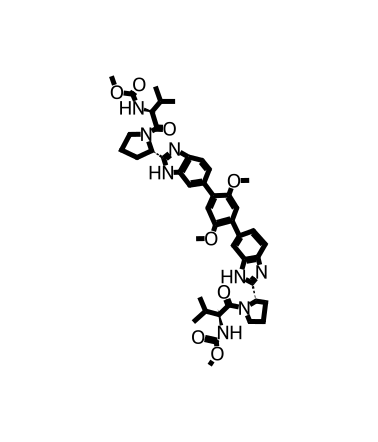 COC(=O)N[C@H](C(=O)N1CCC[C@H]1c1nc2ccc(-c3cc(OC)c(-c4ccc5nc([C@@H]6CCCN6C(=O)[C@@H](NC(=O)OC)C(C)C)[nH]c5c4)cc3OC)cc2[nH]1)C(C)C